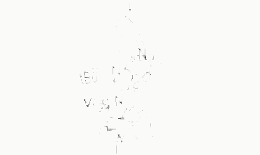 CN(C(=O)[C@H](Cc1ccc(F)cc1)NC(=O)C1CCC1)[C@@H](CC(C)(C)C)C(=O)N1C[C@]2(C[C@H]1C#N)C(=O)Nc1ccccc12